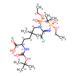 CCOP1(=O)N=C(CF)N(CC(C)(C)CCC(NC(=O)OC(C)(C)C)C(=O)O)P(=O)(OCC)C1(C)C